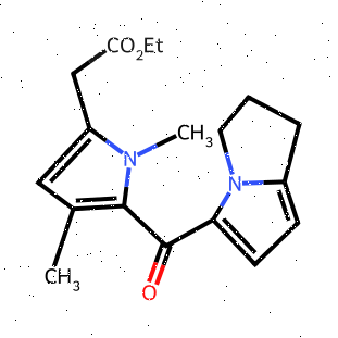 CCOC(=O)Cc1cc(C)c(C(=O)c2ccc3n2CCC3)n1C